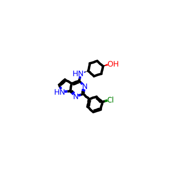 O[C@H]1CC[C@H](Nc2nc(-c3cccc(Cl)c3)nc3[nH]ccc23)CC1